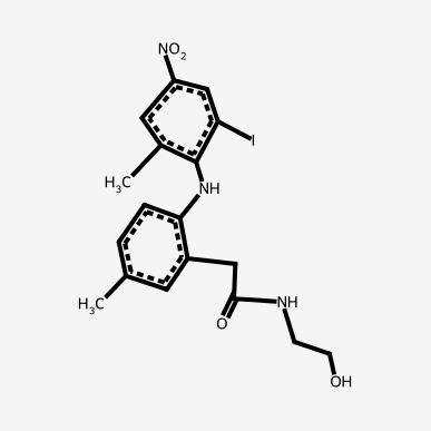 Cc1ccc(Nc2c(C)cc([N+](=O)[O-])cc2I)c(CC(=O)NCCO)c1